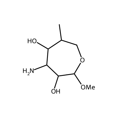 COC1OCC(C)C(O)C(N)C1O